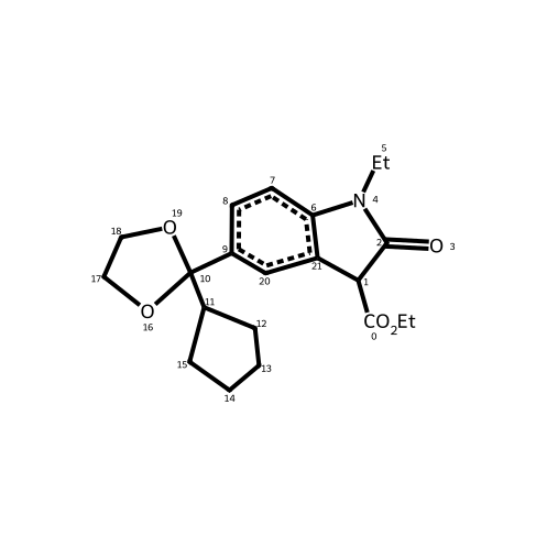 CCOC(=O)C1C(=O)N(CC)c2ccc(C3(C4CCCC4)OCCO3)cc21